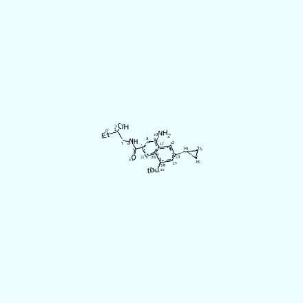 CCC(O)CNC(=O)c1cc(N)c2cc(C3CC3)cc(C(C)(C)C)c2n1